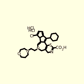 Cl.Cl.O=C(O)C1=NCC2=C(S1)C1=C(C3CCCCC3)C3=CC=C(Cl)C3C1=CN(CCN1CCCOCC1)C2